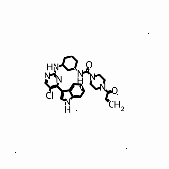 C=CC(=O)N1CCN(C(=O)N[C@H]2CCCC(Nc3ncc(Cl)c(-c4c[nH]c5ccccc45)n3)C2)CC1